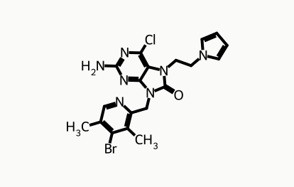 Cc1cnc(Cn2c(=O)n(CCn3cccc3)c3c(Cl)nc(N)nc32)c(C)c1Br